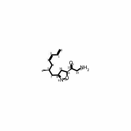 C=C/C=C\C[C@H](C)CC1=NO[C@H](C(=O)CN)C1